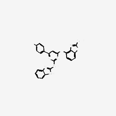 CC(=O)Nc1nc2c(Oc3cc(-c4ccc(C(F)(F)F)cc4)nc(Nc4nc5ccccc5[nH]4)n3)cccc2s1